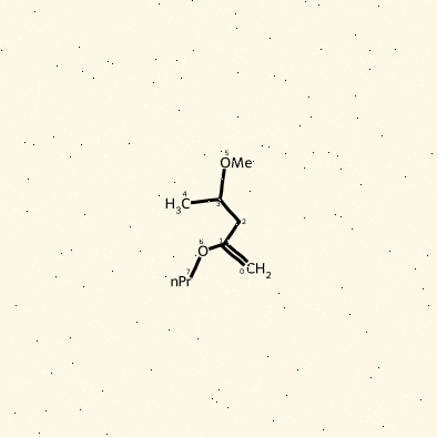 C=C(CC(C)OC)OCCC